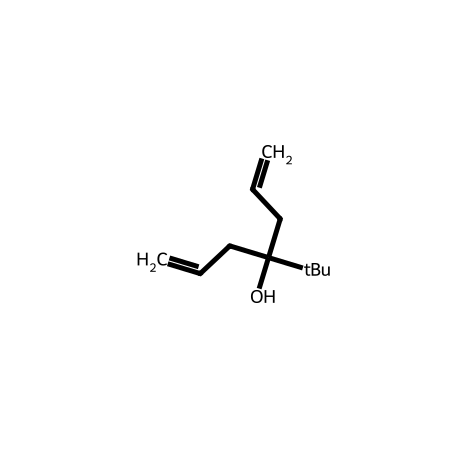 C=CCC(O)(CC=C)C(C)(C)C